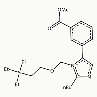 CCCCc1ncc(-c2cccc(C(=O)OC)c2)n1COCC[Si](CC)(CC)CC